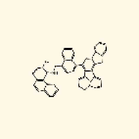 SC1C=Cc2ccc3ccccc3c2C1NCc1ccc(-c2cc3c(c4c2C2=CCCC5C=CC=C4C25)Cc2ccccc2-3)c2ccccc12